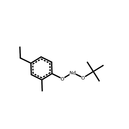 CCc1ccc([O][Nd][O]C(C)(C)C)c(C)c1